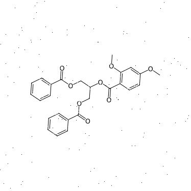 COc1ccc(C(=O)OC(COC(=O)c2ccccc2)COC(=O)c2ccccc2)c(OC)c1